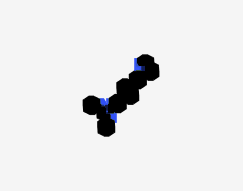 c1ccc(-c2cc(-c3ccccc3)nc(-c3ccc(-c4cccc5c(-c6ccc(-c7cccc8cccnc78)cc6)cccc45)cc3)n2)cc1